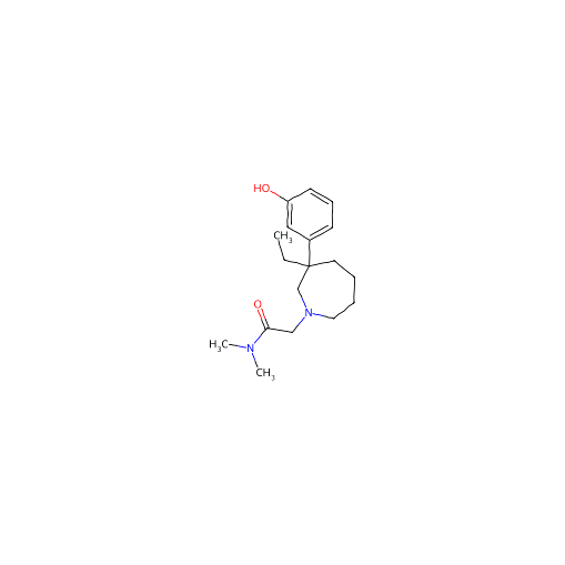 CCC1(c2cccc(O)c2)CCCCN(CC(=O)N(C)C)C1